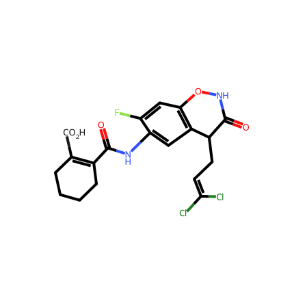 O=C(O)C1=C(C(=O)Nc2cc3c(cc2F)ONC(=O)C3CC=C(Cl)Cl)CCCC1